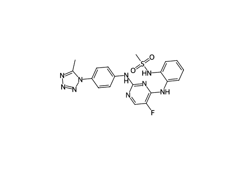 Cc1nnnn1-c1ccc(Nc2ncc(F)c(Nc3ccccc3NS(C)(=O)=O)n2)cc1